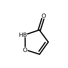 O=C1BOC=C1